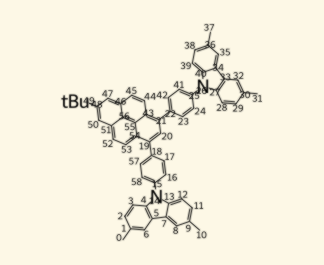 Cc1ccc2c(c1)c1cc(C)ccc1n2-c1ccc(-c2cc(-c3ccc(-n4c5ccc(C)cc5c5cc(C)ccc54)cc3)c3ccc4cc(C(C)(C)C)cc5ccc2c3c54)cc1